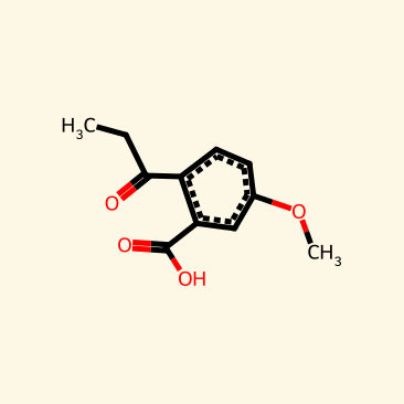 CCC(=O)c1ccc(OC)cc1C(=O)O